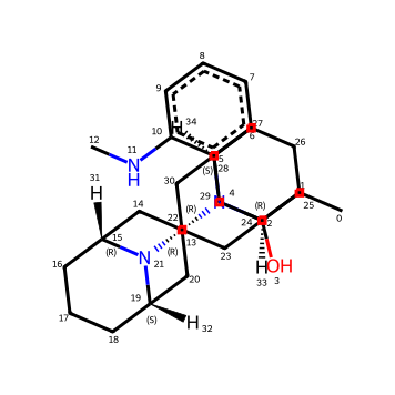 CCC(O)N(c1ccccc1NC)[C@H]1C[C@H]2CCC[C@@H](C1)N2[C@H]1C[C@@H]2CCC[C@@H](C2)C1